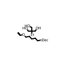 C=COCCCCCCCCCCCCCCC.CCC(CO)(CO)CO